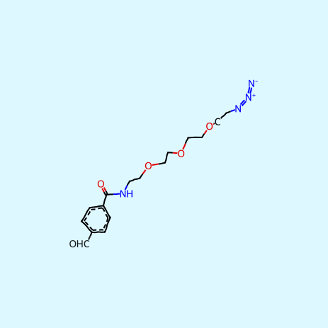 [N-]=[N+]=NCCOCCOCCOCCNC(=O)c1ccc(C=O)cc1